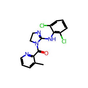 Cc1cccnc1C(=O)N1CCN=C1Nc1c(Cl)cccc1Cl